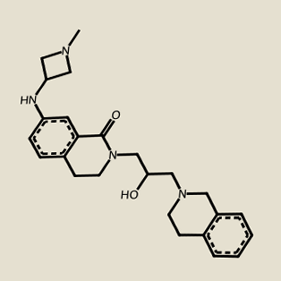 CN1CC(Nc2ccc3c(c2)C(=O)N(CC(O)CN2CCc4ccccc4C2)CC3)C1